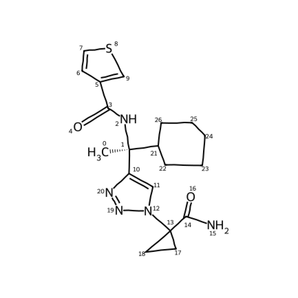 C[C@@](NC(=O)c1ccsc1)(c1cn(C2(C(N)=O)CC2)nn1)C1CCCCC1